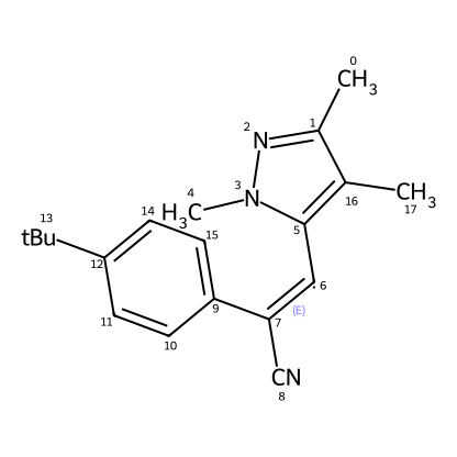 Cc1nn(C)c(/[C]=C(/C#N)c2ccc(C(C)(C)C)cc2)c1C